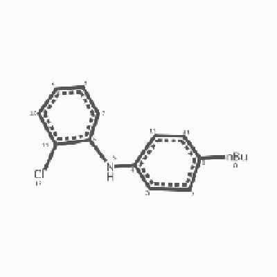 CCCCc1ccc(Nc2ccccc2Cl)cc1